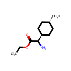 NC(C(=O)OCC(Cl)(Cl)Cl)[C@H]1CC[C@H](C(=O)O)CC1